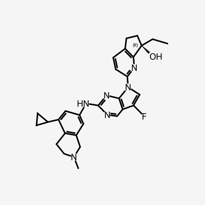 CC[C@@]1(O)CCc2ccc(-n3cc(F)c4cnc(Nc5cc6c(c(C7CC7)c5)CCN(C)C6)nc43)nc21